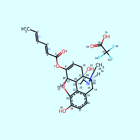 C/C=C/C=C/C(=O)OC1=CC[C@@]2(O)[C@H]3Cc4ccc(O)c5c4[C@@]2(CCN3C)[C@H]1O5.O=C(O)C(F)(F)F